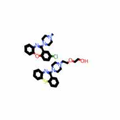 CN1CCN(C2=Nc3ccccc3Oc3ccc(Cl)cc32)CC1.OCCOCCN1CCN(C2=Nc3ccccc3Sc3ccccc32)CC1